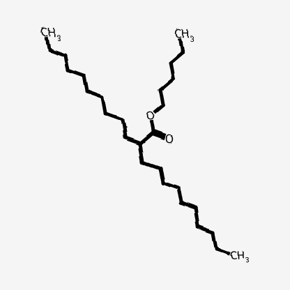 CCCCCCCCCCC(CCCCCCCCCC)C(=O)OCCCCCC